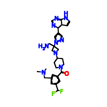 CN(C)Cc1cc(C(=O)N2CCC(N3CC(CN)(n4cc(C5N=CN=C6NC=CC65)cn4)C3)CC2)cc(C(F)F)c1